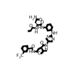 C=CC(=O)N[C@@H](CC(N)=O)C(=O)Nc1cccc(Nc2ncc(NC(=O)c3cc(NC(=O)c4cccc(C(F)(F)F)c4)ccc3C)cn2)c1